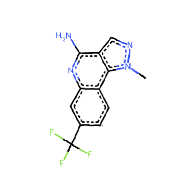 Cn1ncc2c(N)nc3cc(C(F)(F)F)[c]cc3c21